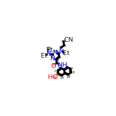 CCN(CCCC#N)c1cc(C(=O)Nc2cc(O)cc3ccccc23)nc(N(CC)CC)n1